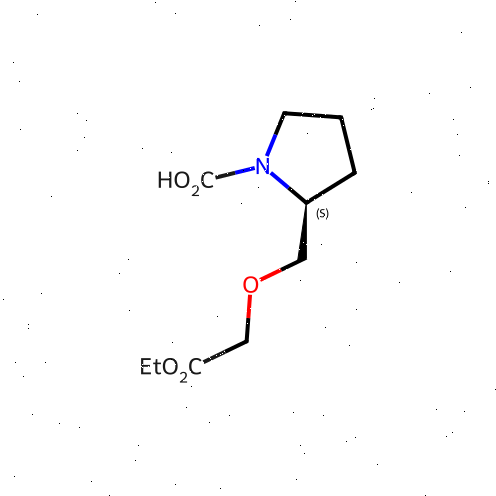 CCOC(=O)COC[C@@H]1CCCN1C(=O)O